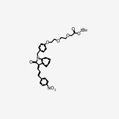 CC(C)(C)OC(=O)COCCOCCOc1ccc(CN2C(=O)/C(=C/C=C/c3ccc([N+](=O)[O-])cc3)c3ccccc32)cc1